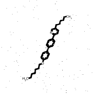 CCCCCCCOc1ccc(-c2ccc(-c3ccc(CCCCCC)cn3)cc2)cc1